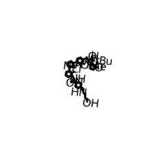 COc1nc(-c2ccnc(-c3cccc(NC(=O)c4ccc(CNCCCO)cn4)c3C)c2Cl)ccc1CN(C[C@@H]1CCC(=O)N1)C(=O)OC(C)(C)C